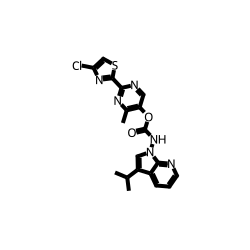 Cc1nc(-c2nc(Cl)cs2)ncc1OC(=O)Nn1cc(C(C)C)c2cccnc21